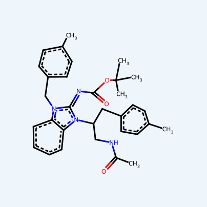 CC(=O)NCC(Cc1ccc(C)cc1)n1/c(=N\C(=O)OC(C)(C)C)n(Cc2ccc(C)cc2)c2ccccc21